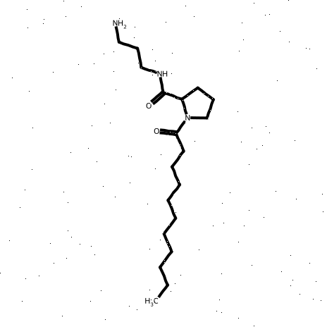 CCCCCCCCCCC(=O)N1CCCC1C(=O)NCCCN